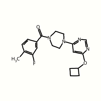 Cc1ccc(C(=O)N2CCN(c3cc(OC4CCC4)ncn3)CC2)cc1F